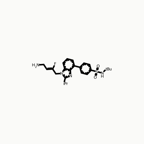 CC(C)c1nc2c(-c3ccc(S(=O)(=O)NC(C)(C)C)cc3)cccc2n1CC(F)=CCN